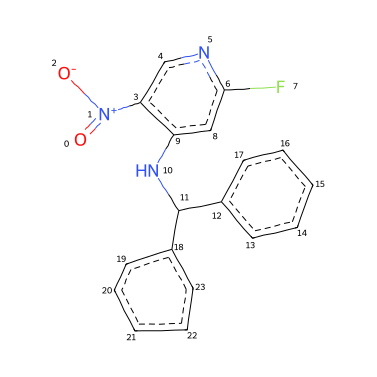 O=[N+]([O-])c1cnc(F)cc1NC(c1ccccc1)c1ccccc1